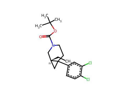 CC[C@@]12CN(C(=O)OC(C)(C)C)CCC1(c1ccc(Cl)c(Cl)c1)C2